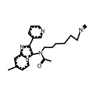 C#[N+]CCCCCCN(C(C)=O)c1c(-c2cccnc2)nc2cc(C)ccn12